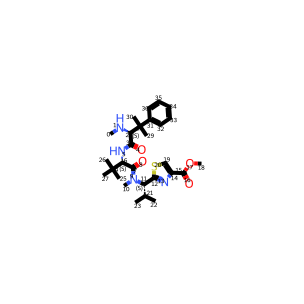 CN[C@H](C(=O)N[C@H](C(=O)N(C)[C@H](c1nc(C(=O)OC)cs1)C(C)C)C(C)(C)C)C(C)(C)c1ccccc1